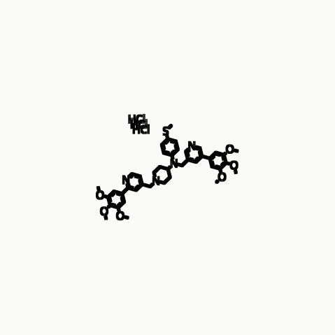 COc1cc(-c2cncc(CN(c3ccc(SC)cc3)C3CCN(Cc4ccnc(-c5cc(OC)c(OC)c(OC)c5)c4)CC3)c2)cc(OC)c1OC.Cl.Cl.Cl